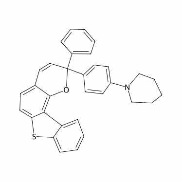 C1=CC(c2ccccc2)(c2ccc(N3CCCCC3)cc2)Oc2c1ccc1sc3ccccc3c21